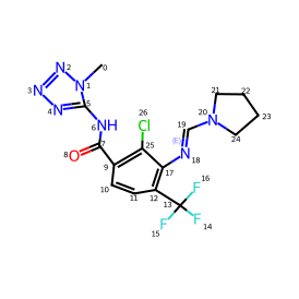 Cn1nnnc1NC(=O)c1ccc(C(F)(F)F)c(/N=C/N2CCCC2)c1Cl